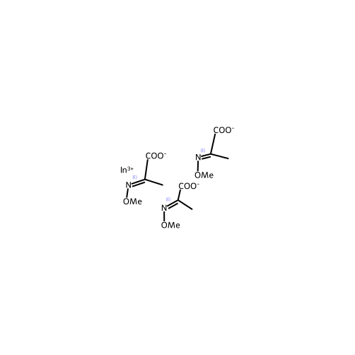 CO/N=C(\C)C(=O)[O-].CO/N=C(\C)C(=O)[O-].CO/N=C(\C)C(=O)[O-].[In+3]